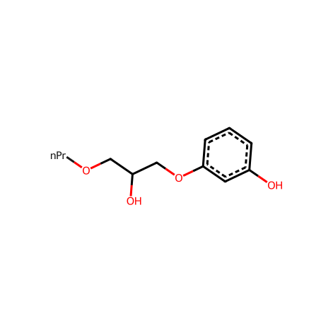 CCCOCC(O)COc1cccc(O)c1